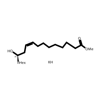 CCCCCC[C@@H](O)C/C=C\CCCCCCCC(=O)OC.[KH]